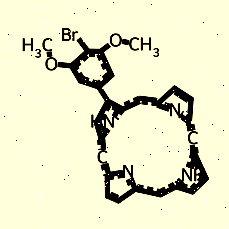 COc1cc(-c2cc3cc4nc(cc5ccc(cc6nc(cc2[nH]3)C=C6)[nH]5)C=C4)cc(OC)c1Br